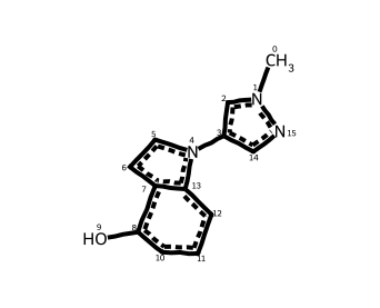 Cn1cc(-n2ccc3c(O)cccc32)cn1